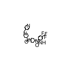 O=C(C1CCN(Cc2ccncc2)CC1)N1CCC(n2c(=O)[nH]c3cc(C(F)(F)F)ccc32)CC1